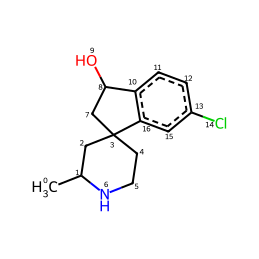 CC1CC2(CCN1)CC(O)c1ccc(Cl)cc12